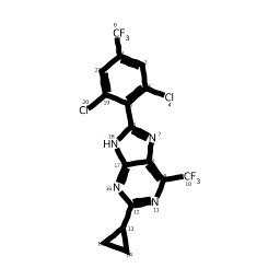 FC(F)(F)c1cc(Cl)c(-c2nc3c(C(F)(F)F)nc(C4CC4)nc3[nH]2)c(Cl)c1